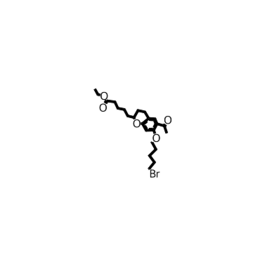 CCOC(=O)CCCCC1CCc2cc(C(C)=O)c(OCCCCCBr)cc2O1